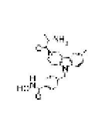 Cc1ccc2c(c1)c1c(n2Cc2ccc(C(=O)NO)cc2)CCN(C(=O)C(C)N)C1